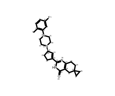 Cc1ccc(F)cc1N1CCN([C@H]2C=C(c3nc4c(c(=O)[nH]3)CC3(CC4)CC3)CC2)CC1